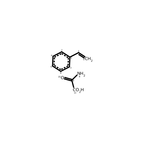 C=Cc1ccccc1.NC(=O)C(=O)O